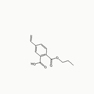 C=Cc1ccc(C(=O)OCCC)c(C(=O)O)c1